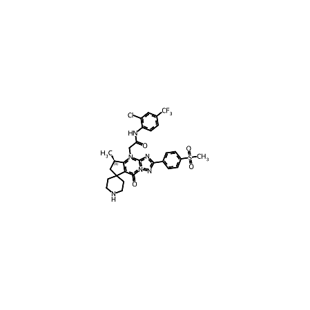 C[C@@H]1CC2(CCNCC2)c2c1n(CC(=O)Nc1ccc(C(F)(F)F)cc1Cl)c1nc(-c3ccc(S(C)(=O)=O)cc3)nn1c2=O